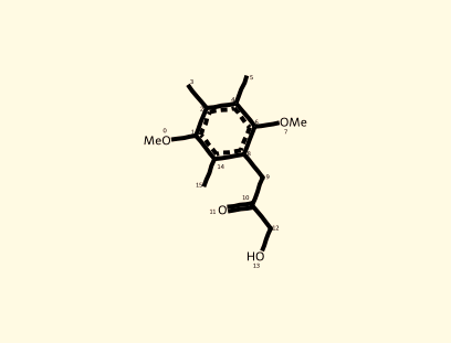 COc1c(C)c(C)c(OC)c(CC(=O)CO)c1C